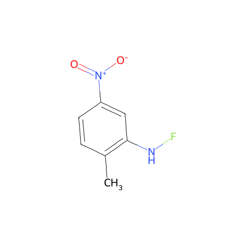 Cc1ccc([N+](=O)[O-])cc1NF